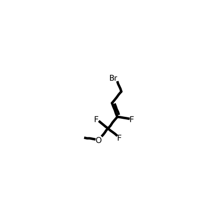 COC(F)(F)/C(F)=C/CBr